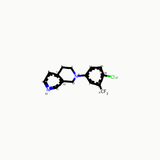 FC(F)(F)c1cc(N2CCc3ccncc3C2)ccc1Cl